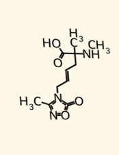 CNC(C)(CC=CCn1c(C)noc1=O)C(=O)O